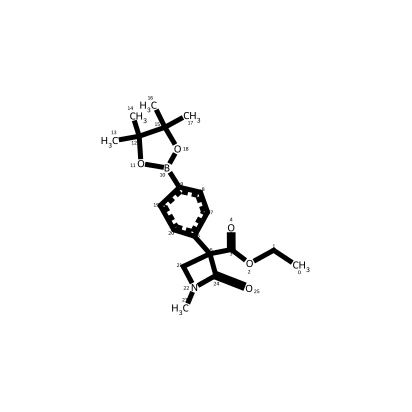 CCOC(=O)C1(c2ccc(B3OC(C)(C)C(C)(C)O3)cc2)CN(C)C1=O